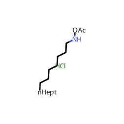 CCCCCCCCCCCCCCNOC(C)=O.Cl